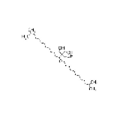 CC(C)CCCCCCCCCCOC(CCCCCCCCCCC(C)C)C(CO)(CO)CO